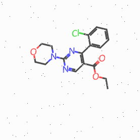 CCOC(=O)c1cnc(N2CCOCC2)nc1-c1ccccc1Cl